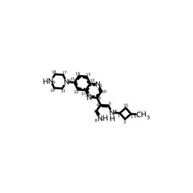 CC1CC(N/C=C(\C=N)c2cnc3ccc(N4CCNCC4)cc3n2)C1